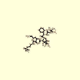 C=CCCC(NC(=O)[C@@H]1[C@@H]2[C@H](CN1C(=O)[C@@H](NC(=O)NC(C)(C)C)C1CCCCC1)C2(C)C)C(=O)C(=O)NCCCS(C)(=O)=O